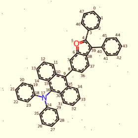 c1ccc(-c2oc3cc(-c4c5ccccc5c(N(c5ccccc5)c5ccccc5)c5ccccc45)ccc3c2-c2ccccc2)cc1